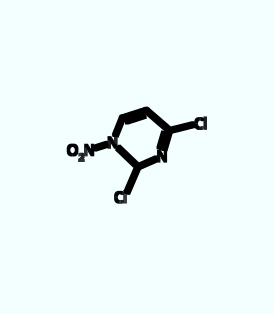 O=[N+]([O-])N1C=CC(Cl)=NC1Cl